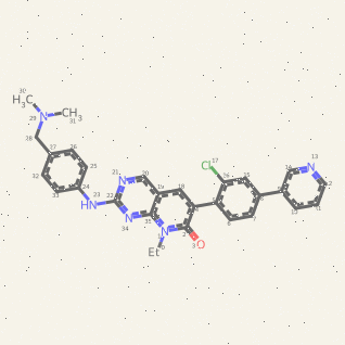 CCn1c(=O)c(-c2ccc(-c3cccnc3)cc2Cl)cc2cnc(Nc3ccc(CN(C)C)cc3)nc21